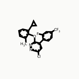 Cc1cccc(C2CC2)c1Oc1nnc(Cl)cc1-c1ccc(C(F)(F)F)cc1F